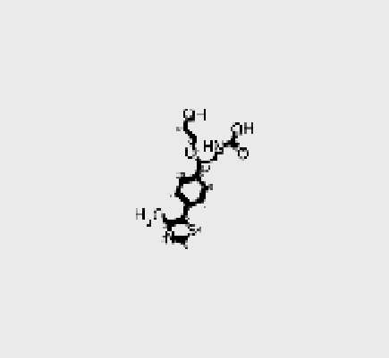 Cc1ncsc1-c1ccc([C@H](CNC(=O)O)OCCO)cc1